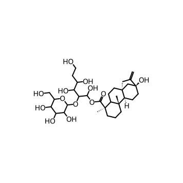 C=C1C[C@@]23CCC4[C@](C)(C(=O)OC(O)C(OC5OC(CO)C(O)C(O)C5O)C(O)C(O)CCO)CCC[C@@]4(C)[C@@H]2CC[C@]1(O)C3